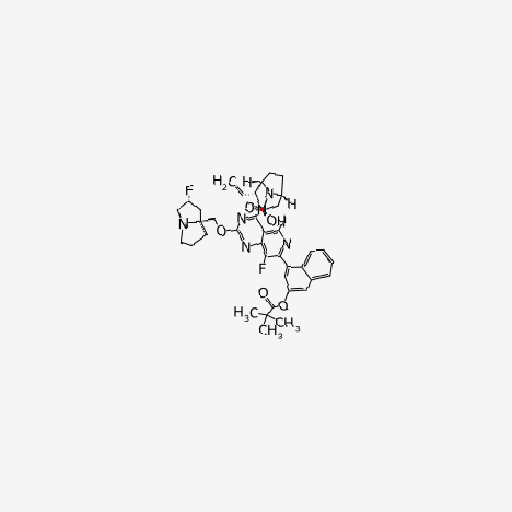 C=C[C@@H]1[C@@H]2CC[C@H](CN1c1nc(OC[C@@]34CCCN3C[C@H](F)C4)nc3c(F)c(-c4cc(OC(=O)C(C)(C)C)cc5ccccc45)nc(I)c13)N2C(=O)O